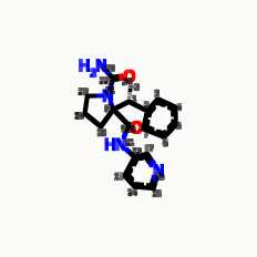 C[C@H](c1ccccc1)C1(C(=O)Nc2cccnc2)CCCN1C(N)=O